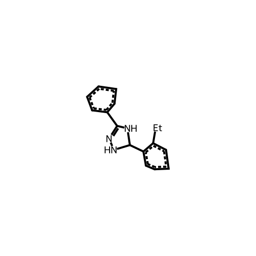 CCc1ccccc1C1NN=C(c2ccccc2)N1